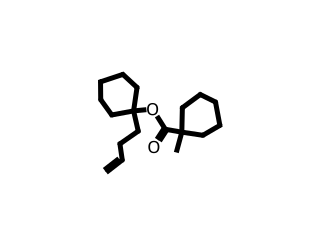 C=CCCC1(OC(=O)C2(C)CCCCC2)CCCCC1